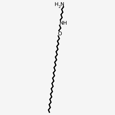 CCCCCCCCCCCCCCCCCCCCCCCCCCCCCCOCCCNCCCCCCN